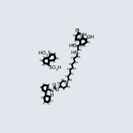 O=C(Nc1ccccc1-c1ccccc1)OC1CCN(CCCCCCCCCNC[C@H](O)c2ccc(O)c3[nH]c(=O)ccc23)CC1.O=S(=O)(O)c1cccc2c(S(=O)(=O)O)cccc12